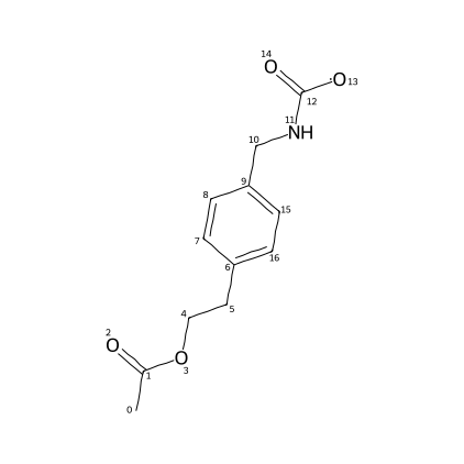 CC(=O)OCCc1ccc(CNC([O])=O)cc1